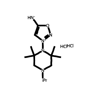 CC(C)N1CC(C)(C)N([n+]2cc([NH-])on2)C(C)(C)C1.Cl.Cl